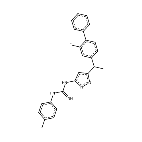 Cc1ccc(NC(=N)Nc2cc(C(C)c3ccc(-c4ccccc4)c(F)c3)on2)cc1